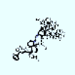 C=C1/C(=C\C=C2/CCC[C@]3(C)[C@@H]([C@H](C)CCC(=O)c4cccs4)CC[C@@H]23)C[C@@H](O[Si](C)(C)C(C)(C)C)C[C@@H]1O[Si](C)(C)C(C)(C)C